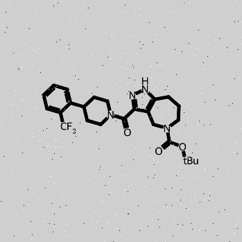 CC(C)(C)OC(=O)N1CCCc2[nH]nc(C(=O)N3CCC(c4ccccc4C(F)(F)F)CC3)c2C1